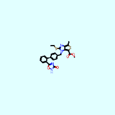 CCSc1nc2c(C)sc(C(=O)OC)c2n1Cc1ccc(-c2ccccc2-c2nc(=O)[nH]o2)cc1